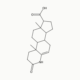 CC12CCC(=O)NC1=CCC1C2CCC2(C)C(C(=O)O)CCC12